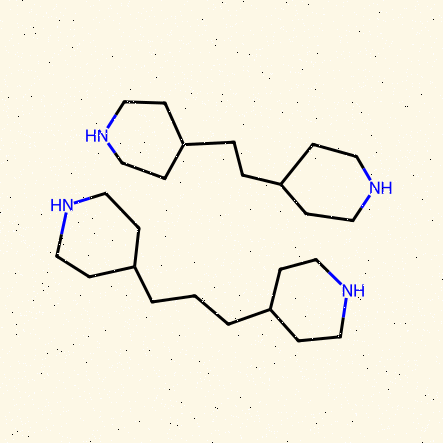 C(CC1CCNCC1)CC1CCNCC1.C1CC(CCC2CCNCC2)CCN1